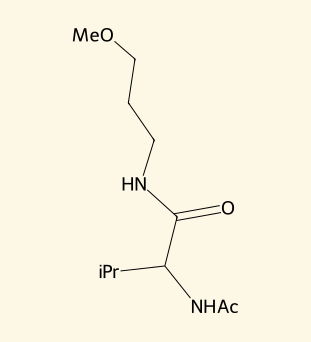 COCCCNC(=O)C(NC(C)=O)C(C)C